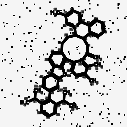 C=C1CC2c3ccccc3-c3ccc(C)c[n+]3C2CCc2ccc3c(oc4nc(-c5c(C(C)C)cccc5C(C)C)ccc43)c2-c2ccc(C)c(C)[n+]21